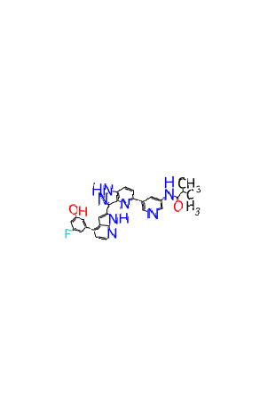 CC(C)C(=O)Nc1cncc(-c2ccc3[nH]nc(-c4cc5c(-c6cc(O)cc(F)c6)ccnc5[nH]4)c3n2)c1